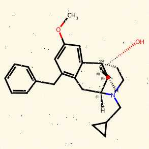 COc1cc(Cc2ccccc2)c2c(c1)[C@]13CCN(CC4CC4)[C@H](C2)[C@@H]1CC[C@@H](O)C3